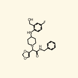 O=C(NCc1ccccc1)C(C1=COCO1)N1CCC(Nc2ccc(F)cc2CO)CC1